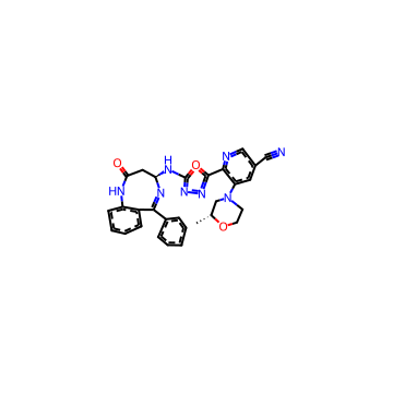 C[C@@H]1CN(c2cc(C#N)cnc2-c2nnc(N[C@@H]3CC(=O)Nc4ccccc4/C(c4ccccc4)=N\3)o2)CCO1